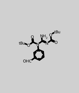 CC(C)(C)OC(=O)N=C(N)N(C(=O)OC(C)(C)C)c1cccc(C=O)c1